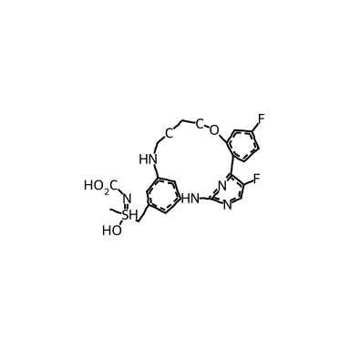 C[SH](O)(Cc1cc2cc(c1)Nc1ncc(F)c(n1)-c1ccc(F)cc1OCCCCN2)=NC(=O)O